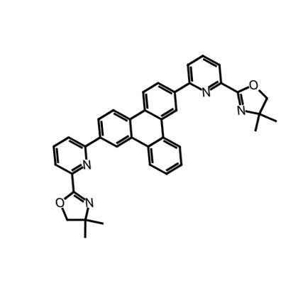 CC1(C)COC(c2cccc(-c3ccc4c5ccc(-c6cccc(C7=NC(C)(C)CO7)n6)cc5c5ccccc5c4c3)n2)=N1